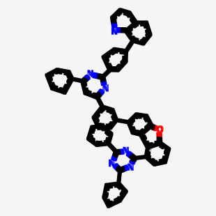 c1ccc(-c2cc(-c3cccc(-c4ccc5oc6cccc(-c7nc(-c8ccccc8)nc(-c8ccccc8)n7)c6c5c4)c3)nc(-c3ccc(-c4cccc5cccnc45)cc3)n2)cc1